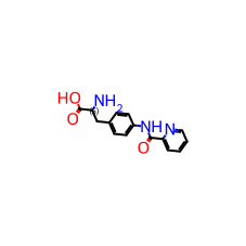 N[C@@H](Cc1ccc(NC(=O)c2ccccn2)cc1)C(=O)O